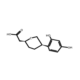 O=C(O)C[C@H]1CC[C@@H](c2ccc(O)cc2O)CC1